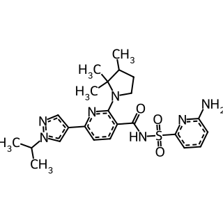 CC(C)n1cc(-c2ccc(C(=O)NS(=O)(=O)c3cccc(N)n3)c(N3CCC(C)C3(C)C)n2)cn1